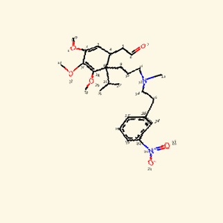 COC1=CC(CC=O)C(CCCN(C)CCc2cccc([N+](=O)[O-])c2)(C(C)C)C(OC)=C1OC